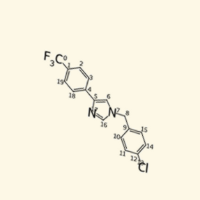 FC(F)(F)c1ccc(-c2cn(Cc3ccc(Cl)cc3)cn2)cc1